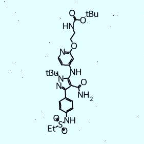 CCS(=O)(=O)Nc1ccc(-c2nn(C(C)(C)C)c(Nc3ccnc(OCCNC(=O)OC(C)(C)C)c3)c2C(N)=O)cc1